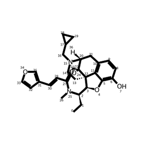 CC[C@H]([C@@H]1Oc2c(O)ccc3c2[C@@]12CCN(CC1CC1)[C@H](C3)[C@@]2(C)O)N(C)C(=O)/C=C/c1ccoc1